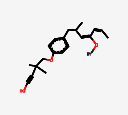 C/C=C\C(=C/C(C)Cc1ccc(OCC(C)(C)C#CO)cc1)OC(C)C